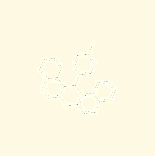 Clc1ccc(C2c3c(ccc4ccccc34)Oc3ccc4ccccc4c32)cc1